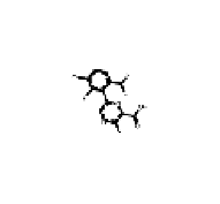 Cc1ncc(-c2c(C(F)F)ccc(Cl)c2F)nc1C(=O)O